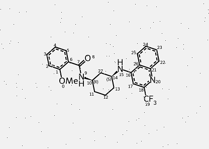 COc1ccccc1C(=O)N[C@@H]1CCC[C@H](Nc2cc(C(F)(F)F)nc3ccccc23)C1